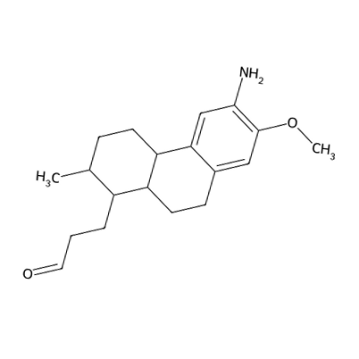 COc1cc2c(cc1N)C1CCC(C)C(CCC=O)C1CC2